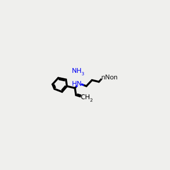 C=CC(NCCCCCCCCCCCC)c1ccccc1.N